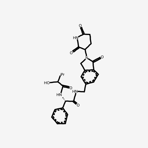 CC(C)C(O)C(=O)N[C@H](C(=O)NCc1ccc2c(c1)CN(C1CCC(=O)NC1=O)C2=O)c1ccccc1